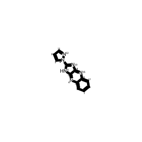 c1ccc2nc3[nH]c(-n4cccn4)nc3nc2c1